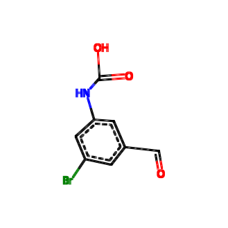 O=Cc1cc(Br)cc(NC(=O)O)c1